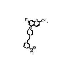 Cc1ccc2c(N3CCN(CCc4cccc([N+](=O)[O-])c4)CC3)cc(F)cc2n1